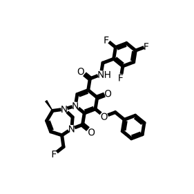 C[C@@H]1C=CC(CF)N2CN1n1cc(C(=O)NCc3c(F)cc(F)cc3F)c(=O)c(OCc3ccccc3)c1C2=O